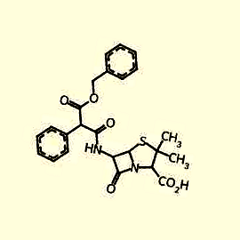 CC1(C)SC2C(NC(=O)C(C(=O)OCc3ccccc3)c3ccccc3)C(=O)N2C1C(=O)O